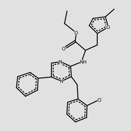 CCOC(=O)C(Cc1ccc(C)o1)Nc1ncc(-c2ccccc2)nc1Cc1ccccc1Cl